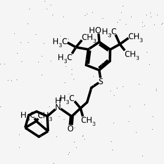 CC(C)(CCSc1cc(C(C)(C)C)c(O)c(C(C)(C)C)c1)C(=O)NC1CCC2CC1C2(C)C